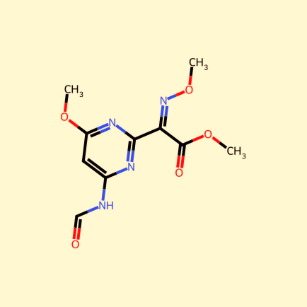 CON=C(C(=O)OC)c1nc(NC=O)cc(OC)n1